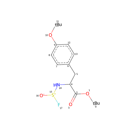 CC(C)(C)OC(=O)C(Cc1ccc(OC(C)(C)C)cc1)N[S+]([O-])F